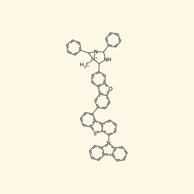 C[N+]12C(c3ccc4c(c3)oc3ccc(-c5cccc6sc7c(-n8c9ccccc9c9ccccc98)cccc7c56)cc34)NC(c3ccccc3)N1C2c1ccccc1